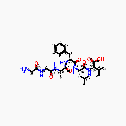 CC(C)C[C@H](NC(=O)[C@H](Cc1ccccc1)NC(=O)[C@H](C)NC(=O)CNC(=O)CN)C(=O)N[C@H](C(=O)O)C(C)C